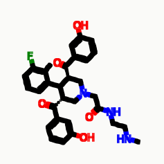 CNCCNC(=O)CN1C[C@H](C(=O)c2cccc(O)c2)C(c2cccc(F)c2C)[C@@H](C(=O)c2cccc(O)c2)C1